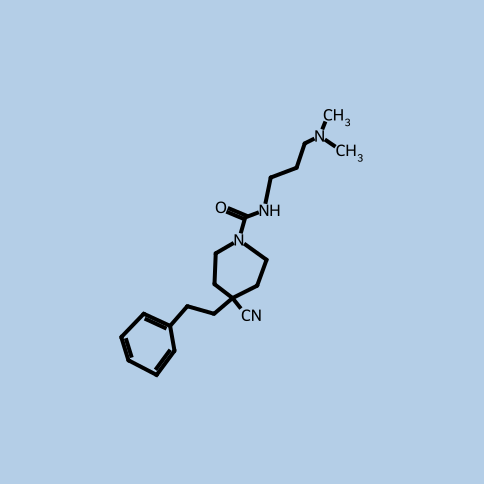 CN(C)CCCNC(=O)N1CCC(C#N)(CCc2ccccc2)CC1